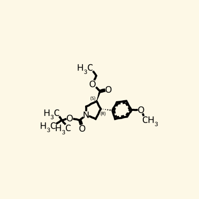 CCOC(=O)[C@@H]1CN(C(=O)OC(C)(C)C)C[C@H]1c1ccc(OC)cc1